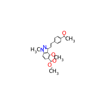 CCOC(=O)c1ccc2c(c(/C=C/c3ccc(C(C)=O)cc3)nn2C)c1OC